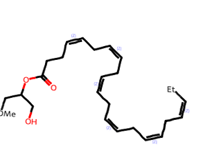 CC/C=C\C/C=C\C/C=C\C/C=C\C/C=C\C/C=C\CCC(=O)OC(CO)COC